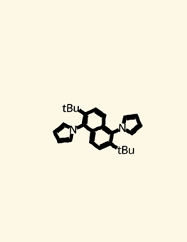 CC(C)(C)c1ccc2c(-n3cccc3)c(C(C)(C)C)ccc2c1-n1cccc1